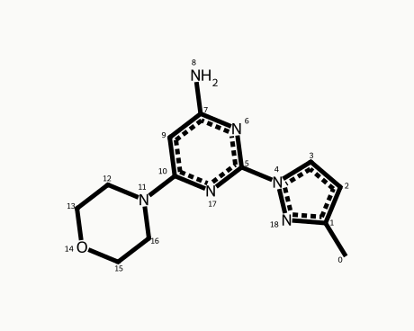 Cc1ccn(-c2nc(N)cc(N3CCOCC3)n2)n1